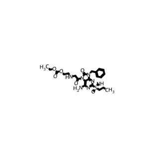 CCCS(=N)(=O)c1nc(N)c2c(n1)n(Cc1ccccc1)c(=O)n2C(=O)CNCCOC(=O)OCC